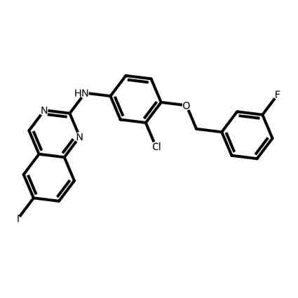 Fc1cccc(COc2ccc(Nc3ncc4cc(I)ccc4n3)cc2Cl)c1